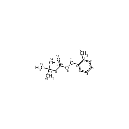 Cc1ccccc1OOC(=O)CC(C)(C)C